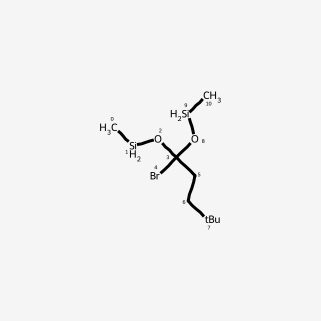 C[SiH2]OC(Br)(CCC(C)(C)C)O[SiH2]C